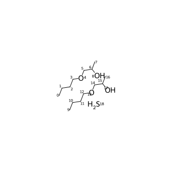 CCCCOCC(C)O.CCCCOCC(C)O.S